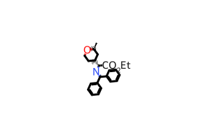 CCOC(=O)C(N=C(c1ccccc1)c1ccccc1)[C@@H]1CCO[C@@H](C)C1